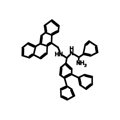 NC(NC(NCc1c2ccccc2cc2c1ccc1ccccc12)c1ccc(-c2ccccc2)c(-c2ccccc2)c1)c1ccccc1